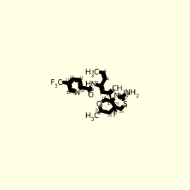 C=C(/C=C(\C=C/C)NC(=O)c1ccc(C(F)(F)F)cn1)[C@]12CO[C@@H](C)C[C@@]1(F)CSC(N)=N2